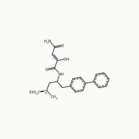 CCOC(=O)[C@H](C)CC(Cc1ccc(-c2ccccc2)cc1)NC(=O)/C(O)=C/C(N)=O